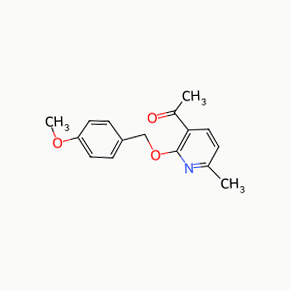 COc1ccc(COc2nc(C)ccc2C(C)=O)cc1